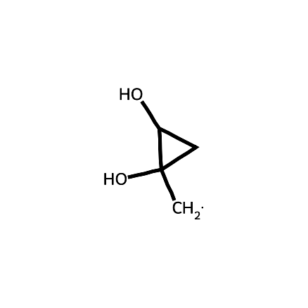 [CH2]C1(O)CC1O